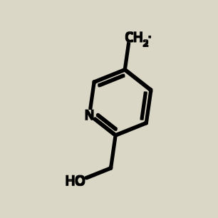 [CH2]c1ccc(CO)nc1